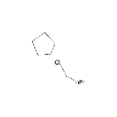 C1CCCC1.CCCCCl